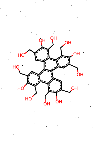 OCc1cc2c(c(CO)c1O)c1c(CO)c(O)c(CO)cc1c1c3cc(CO)c(O)c(CO)c3c3c(CO)c(O)c(CO)cc3c21